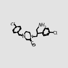 NCC(CN1CCN(Cc2ccc(Cl)cc2)CC1=C=O)c1ccc(Cl)cc1